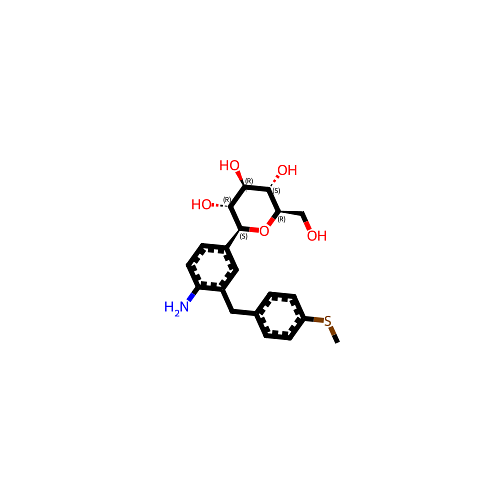 CSc1ccc(Cc2cc([C@@H]3O[C@H](CO)[C@@H](O)[C@H](O)[C@H]3O)ccc2N)cc1